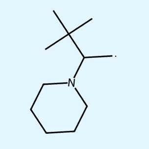 [CH2]C(N1CCCCC1)C(C)(C)C